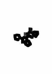 CC[C@H](NC(=O)c1cc(N2CCSCC2)nc2ccccc12)c1ccccc1